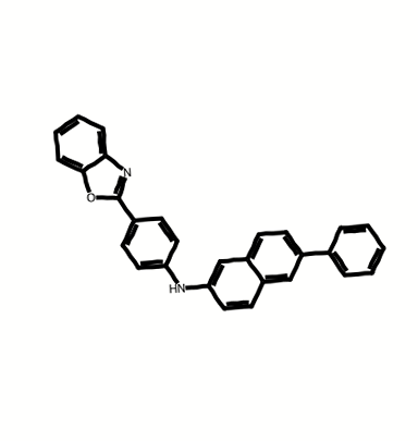 c1ccc(-c2ccc3cc(Nc4ccc(-c5nc6ccccc6o5)cc4)ccc3c2)cc1